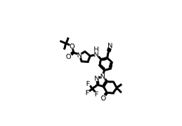 CC1(C)CC(=O)c2c(C(F)(F)F)nn(-c3ccc(C#N)c(NC4CCN(C(=O)OC(C)(C)C)C4)c3)c2C1